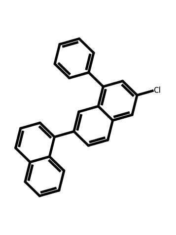 Clc1cc(-c2ccccc2)c2cc(-c3cccc4ccccc34)ccc2c1